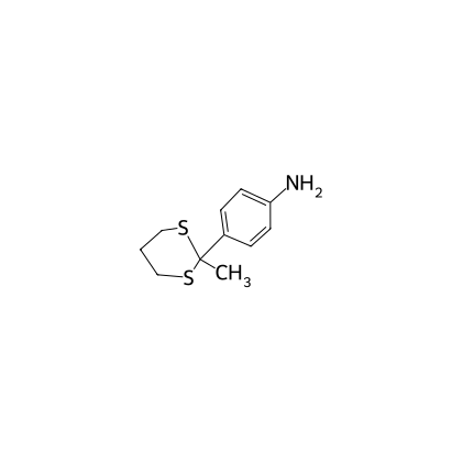 CC1(c2ccc(N)cc2)SCCCS1